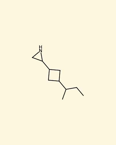 CCC(C)C1CC(C2CN2)C1